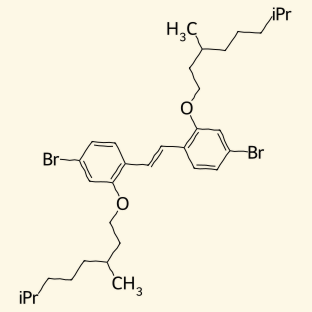 CC(C)CCCC(C)CCOc1cc(Br)ccc1C=Cc1ccc(Br)cc1OCCC(C)CCCC(C)C